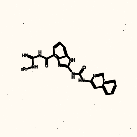 CCCNC(=N)NC(=O)c1cccc2[nH]c(NC(=O)Nc3cc4ccccc4cn3)nc12